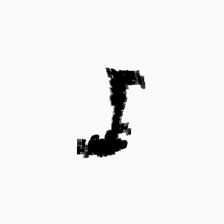 CC(=O)O[C@]1(C(C)=O)CC[C@H]2[C@@H]3CCC4=CC(=O)CCC4=C3[C@@H](c3ccc(N(C)CCCCCCN4CCC(CN5CCN(C(=O)OC(C)(C)C)CC5)CC4)cc3)C[C@@]21C